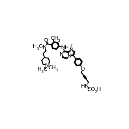 Cc1cc(Nc2nccn3c(-c4ccc(OCC#CCNC(=O)O)cc4)cnc23)ccc1C(=O)N(C)CCC1CC[N+](C)(C)CC1.[I-]